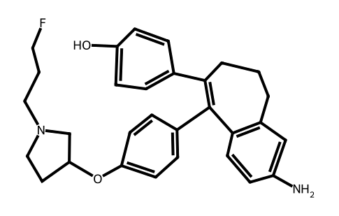 Nc1ccc2c(c1)CCCC(c1ccc(O)cc1)=C2c1ccc(OC2CCN(CCCF)C2)cc1